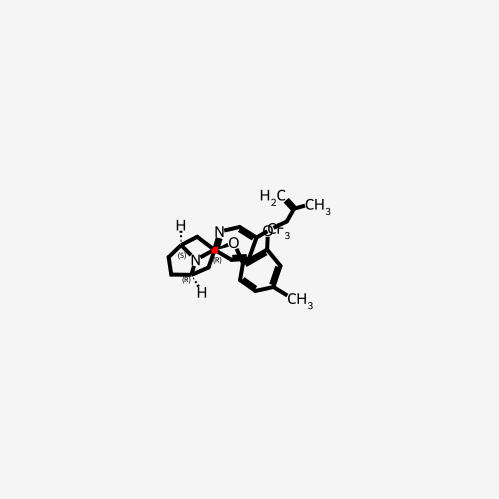 C=C(C)COc1cc(C)ccc1O[C@H]1C[C@H]2CC[C@@H](C1)N2c1ccc(C(F)(F)F)cn1